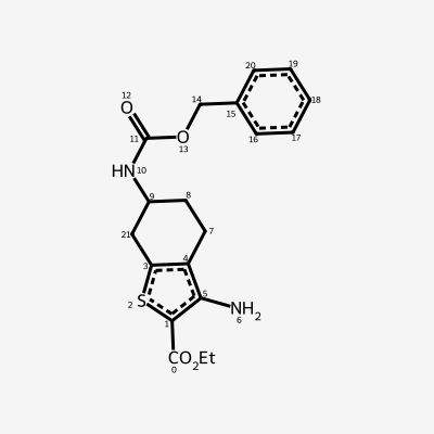 CCOC(=O)c1sc2c(c1N)CCC(NC(=O)OCc1ccccc1)C2